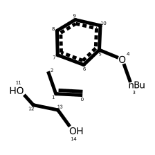 C=CC.CCCCOc1ccccc1.OCCO